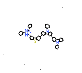 c1ccc(-c2nc(-c3ccccc3)nc(-c3ccc4sc5ccc(-c6ccc7c(c6)c6cc(-c8ccc9c(c8)c8ccccc8n9-c8ccccc8)ccc6n7-c6ccccc6)cc5c4c3)n2)cc1